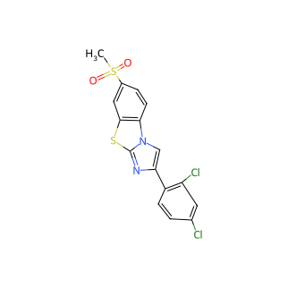 CS(=O)(=O)c1ccc2c(c1)sc1nc(-c3ccc(Cl)cc3Cl)cn12